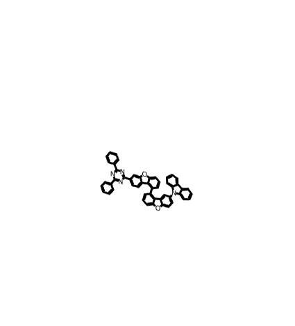 c1ccc(-c2nc(-c3ccccc3)nc(-c3ccc4c(c3)oc3cccc(-c5cccc6oc7ccc(-n8c9ccccc9c9ccccc98)cc7c56)c34)n2)cc1